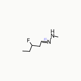 CCC(F)C/C=N/NC